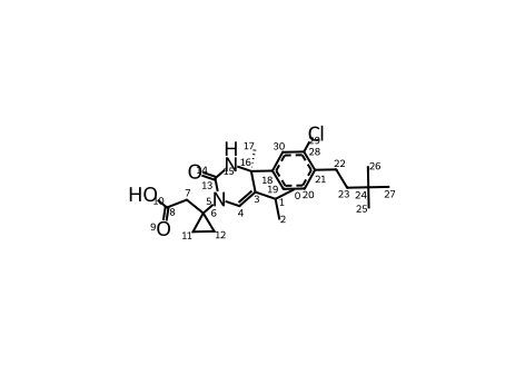 CC(C)C1=CN(C2(CC(=O)O)CC2)C(=O)N[C@@]1(C)c1ccc(CCC(C)(C)C)c(Cl)c1